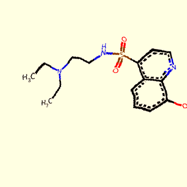 CCN(CC)CCNS(=O)(=O)c1ccnc2c(O)cccc12